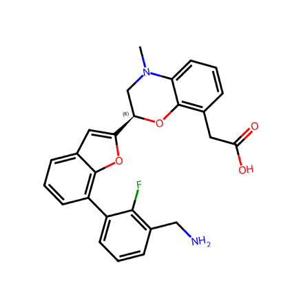 CN1C[C@H](c2cc3cccc(-c4cccc(CN)c4F)c3o2)Oc2c(CC(=O)O)cccc21